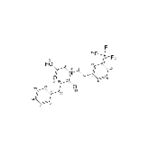 O=C(O)CN(CCc1cccc(C(F)(F)F)c1)C(=O)CCc1ccccc1